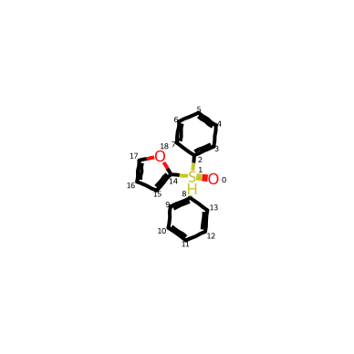 O=[SH](c1ccccc1)(c1ccccc1)c1ccco1